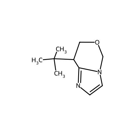 CC(C)(C)C1COCn2ccnc21